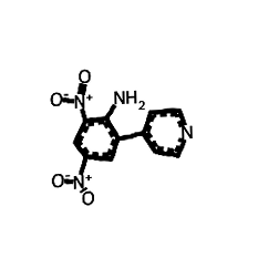 Nc1c(-c2ccncc2)cc([N+](=O)[O-])cc1[N+](=O)[O-]